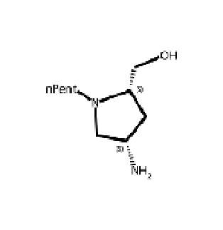 CCCCCN1C[C@@H](N)C[C@H]1CO